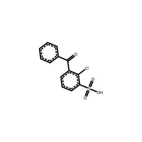 O=C(c1ccccc1)c1cccc(S(=O)(=O)O)c1Cl